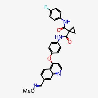 CO/N=C/c1ccc2c(Oc3ccc(NC(=O)C4(C(=O)Nc5ccc(F)cc5)CC4)cc3)ccnc2c1